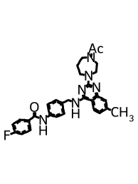 CC(=O)N1CCCN(c2nc(NCc3ccc(NC(=O)c4ccc(F)cc4)cc3)c3ccc(C)cc3n2)CC1